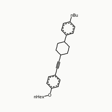 CCCCCCOc1ccc(C#CC2CCC(c3ccc(CCCC)cc3)CC2)cc1